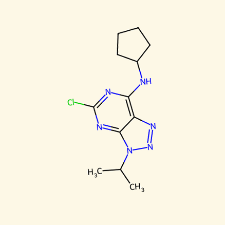 CC(C)n1nnc2c(NC3CCCC3)nc(Cl)nc21